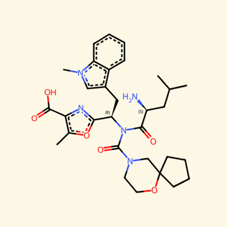 Cc1oc([C@@H](Cc2cn(C)c3ccccc23)N(C(=O)[C@@H](N)CC(C)C)C(=O)N2CCOC3(CCCC3)C2)nc1C(=O)O